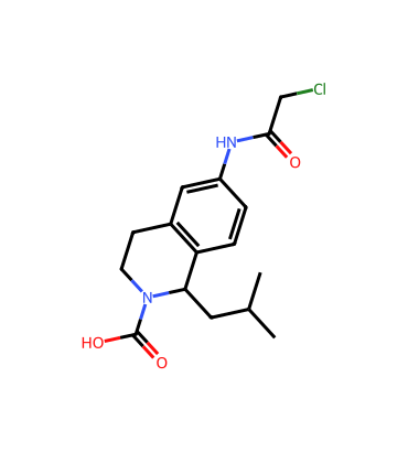 CC(C)CC1c2ccc(NC(=O)CCl)cc2CCN1C(=O)O